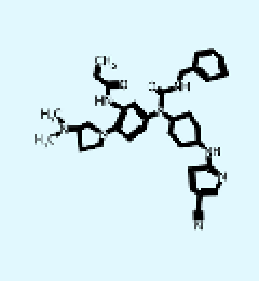 C=CC(=O)Nc1cc(N(C(=O)NCc2ccccc2)C2CCC(Nc3ccc(C#N)cn3)CC2)ccc1N1CCC(N(C)C)C1